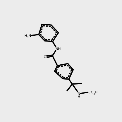 CC(C)(NC(=O)O)c1ccc(C(=O)Nc2cccc(N)c2)cc1